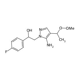 COOC(C)c1cnn(CC(O)c2ccc(F)cc2)c1N